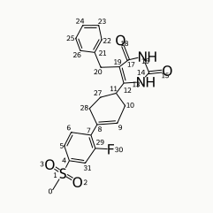 CS(=O)(=O)c1ccc(C2=CCC(c3[nH]c(=O)[nH]c(=O)c3Cc3ccccc3)CC2)c(F)c1